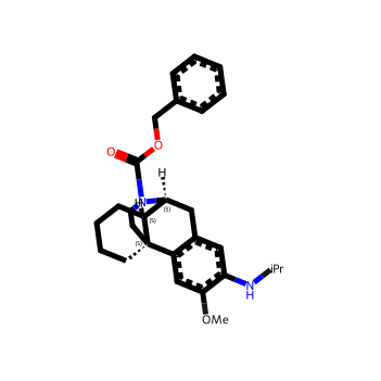 COc1cc2c(cc1NC(C)C)C[C@H]1[C@H]3CCCC[C@@]23CCN1C(=O)OCc1ccccc1